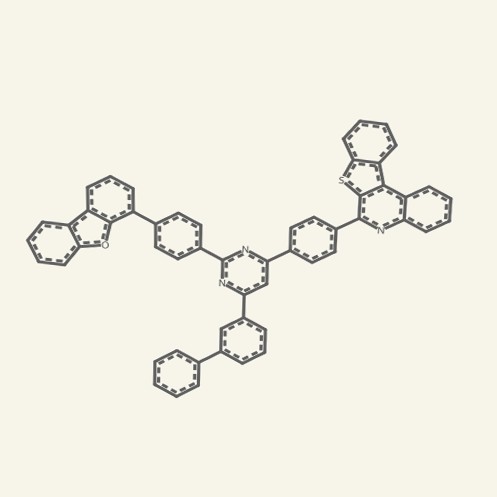 c1ccc(-c2cccc(-c3cc(-c4ccc(-c5nc6ccccc6c6c5sc5ccccc56)cc4)nc(-c4ccc(-c5cccc6c5oc5ccccc56)cc4)n3)c2)cc1